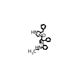 CCCNc1ccccc1-n1ccc(C(=O)N2CCNCC2Cc2ccccc2)c1-c1ccccc1